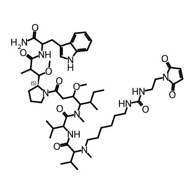 CCC(C)C(C(CC(=O)N1CCC[C@H]1C(OC)C(C)C(=O)NC(Cc1c[nH]c2ccccc12)C(N)=O)OC)N(C)C(=O)C(NC(=O)C(C(C)C)N(C)CCCCCCNC(=O)NCCN1C(=O)C=CC1=O)C(C)C